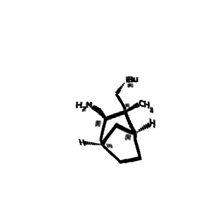 CC[C@@H](C)C[C@]1(C)[C@H]2CC[C@H](C2)[C@H]1N